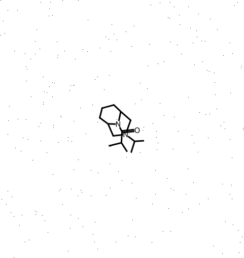 CC(C)C(=O)N1C2CCCC1CN(C(C)C)C2